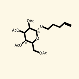 C=CCCCO[C@@H]1OC(COC(C)=O)[C@@H](OC(C)=O)C(OC(C)=O)C1OC(C)=O